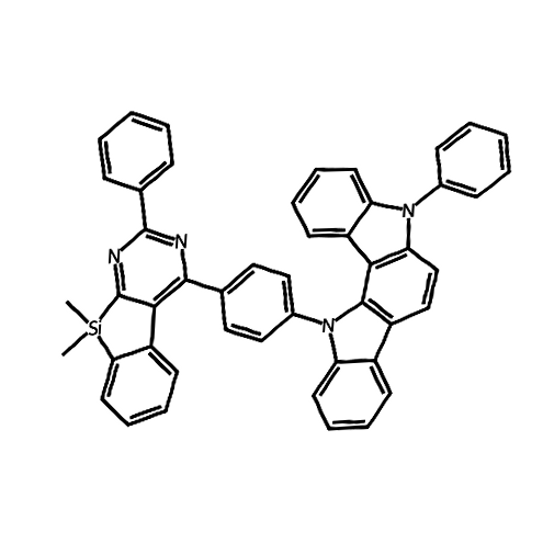 C[Si]1(C)c2ccccc2-c2c(-c3ccc(-n4c5ccccc5c5ccc6c(c7ccccc7n6-c6ccccc6)c54)cc3)nc(-c3ccccc3)nc21